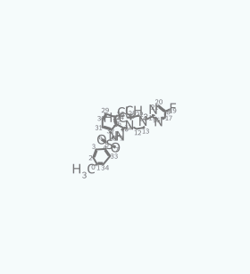 Cc1ccc(S(=O)(=O)n2nc(N3CCN(c4ncc(F)cn4)CC3(C)C)c3c(Cl)cccc32)cc1